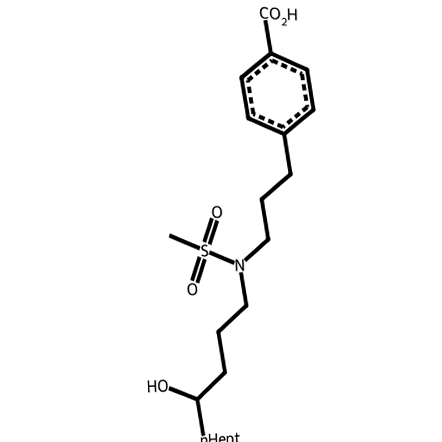 CCCCCCCC(O)CCCN(CCCc1ccc(C(=O)O)cc1)S(C)(=O)=O